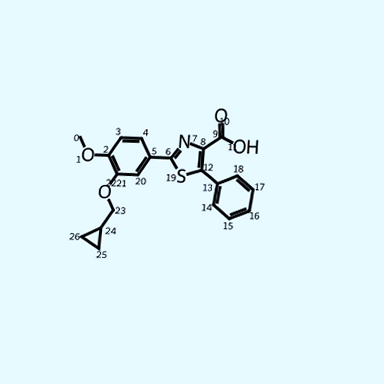 COc1ccc(-c2nc(C(=O)O)c(-c3ccccc3)s2)cc1OCC1CC1